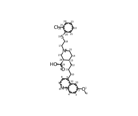 COc1ccc2nccc(CCC[C@@H]3CCN(CCSc4ccccc4Cl)C[C@@H]3C(=O)O)c2c1